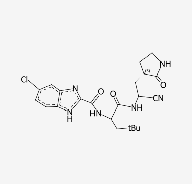 CC(C)(C)CC(NC(=O)c1nc2cc(Cl)ccc2[nH]1)C(=O)NC(C#N)C[C@@H]1CCNC1=O